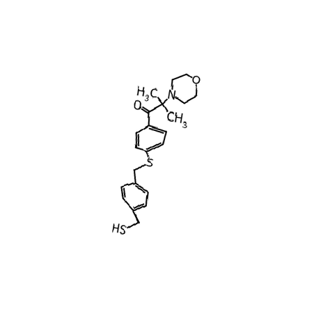 CC(C)(C(=O)c1ccc(SCc2ccc(CS)cc2)cc1)N1CCOCC1